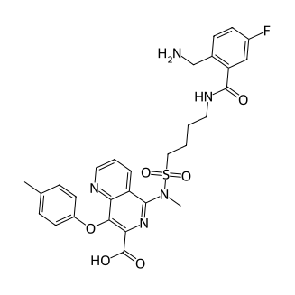 Cc1ccc(Oc2c(C(=O)O)nc(N(C)S(=O)(=O)CCCCNC(=O)c3cc(F)ccc3CN)c3cccnc23)cc1